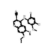 CCSc1cc2ncc(C#N)c(Nc3cc(OC)c(Cl)cc3Cl)c2cc1OC